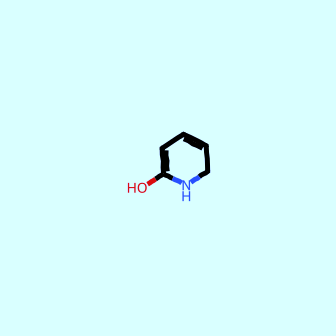 OC1=CC=CCN1